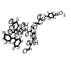 CC(C)(ON=C(C(=O)N[C@H]1CON(C2(C(=O)OC(c3ccccc3)c3ccccc3)CCC(=O)O2)C1=O)c1csc(NC(=O)CCl)n1)C(=O)OCc1ccc([N+](=O)[O-])cc1